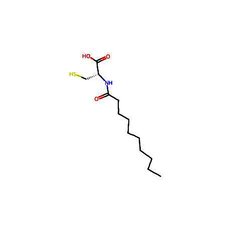 CCCCCCCCCC(=O)N[C@H](CS)C(=O)O